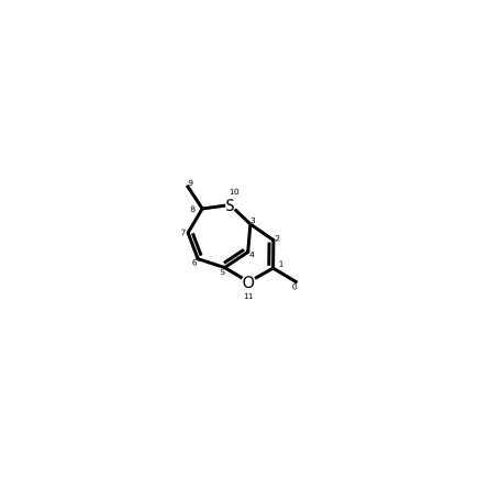 CC1=CC2C=C(C=CC(C)S2)O1